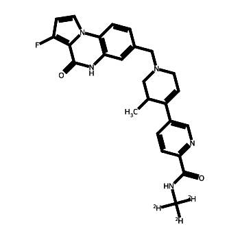 [2H]C([2H])([2H])NC(=O)c1ccc(C2=CCN(Cc3ccc4c(c3)[nH]c(=O)c3c(F)ccn34)CC2C)cn1